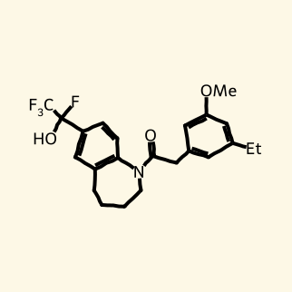 CCc1cc(CC(=O)N2CCCCc3cc(C(O)(F)C(F)(F)F)ccc32)cc(OC)c1